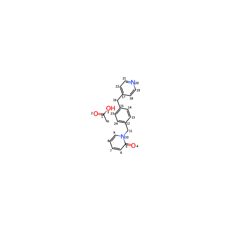 CC(=O)O.O=c1ccccn1Cc1ccc(Cc2ccncc2)cc1